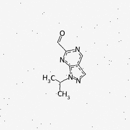 CC(C)n1ncc2cnc(C=O)nc21